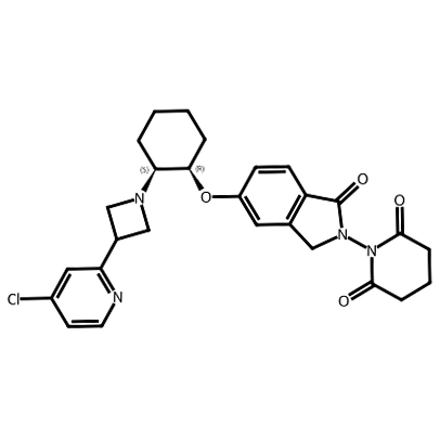 O=C1c2ccc(O[C@@H]3CCCC[C@@H]3N3CC(c4cc(Cl)ccn4)C3)cc2CN1N1C(=O)CCCC1=O